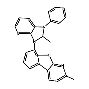 Cc1ccc2c(n1)oc1c(N3c4ncccc4N(c4ccccc4)C3C)cccc12